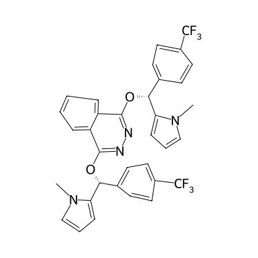 Cn1cccc1[C@H](Oc1nnc(O[C@H](c2ccc(C(F)(F)F)cc2)c2cccn2C)c2ccccc12)c1ccc(C(F)(F)F)cc1